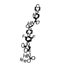 COC(=O)NC[C@H]1CN(c2cc(F)c(N3CCN(C(=O)CNC(=O)c4ccc(N5CCOCC5)nc4)CC3)c(F)c2)C(=O)O1